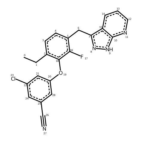 CCc1ccc(Cc2n[nH]c3ncccc23)c(F)c1Oc1cc(Cl)cc(C#N)c1